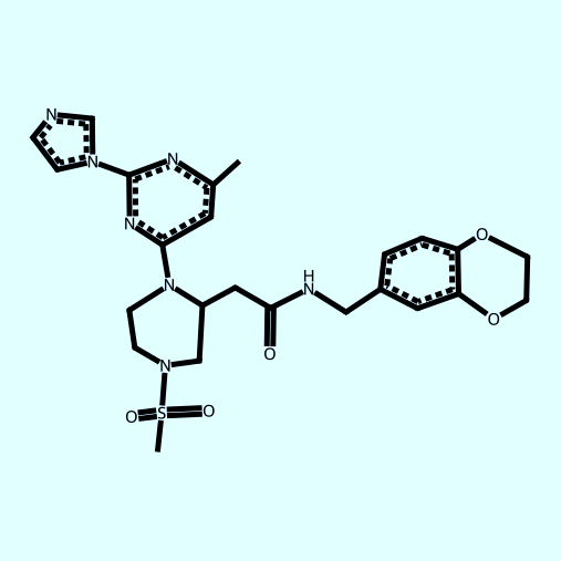 Cc1cc(N2CCN(S(C)(=O)=O)CC2CC(=O)NCc2ccc3c(c2)OCCO3)nc(-n2ccnc2)n1